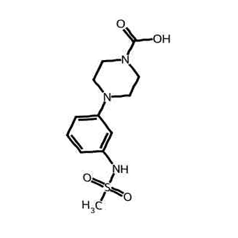 CS(=O)(=O)Nc1cccc(N2CCN(C(=O)O)CC2)c1